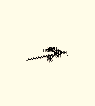 CCCCCCCCCCCCCCCCOCC(CO[C@H]1[C@@H](O)[C@H](n2ccc(N)nc2=O)O[C@@H]1COP(=O)(O)OP(=O)(O)O)OCC(F)(F)F